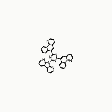 c1cnc2c(c1)cc(-c1nc(-c3cc4cccnc4c4ccccc34)nc(-n3c4ncccc4c4cccnc43)n1)c1ccccc12